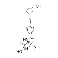 CSC(C)(C)[C@H](NC(=O)c1ccc(C#CC2CCC(CO)C2)cc1)C(=O)NO